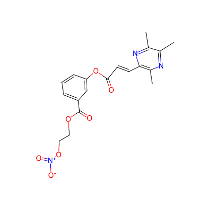 Cc1nc(C)c(/C=C/C(=O)Oc2cccc(C(=O)OCCO[N+](=O)[O-])c2)nc1C